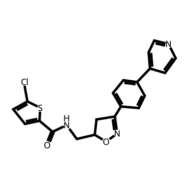 O=C(NCC1CC(c2ccc(-c3ccncc3)cc2)=NO1)c1ccc(Cl)s1